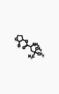 CC(C)(C)CC(N)C(=O)OC1CCOC1=O